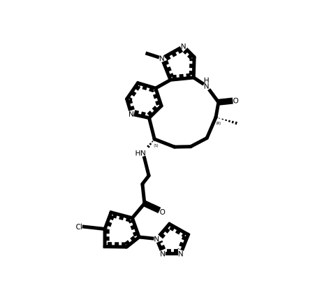 C[C@@H]1CCC[C@H](NCCC(=O)c2cc(Cl)ccc2-n2ccnn2)c2cc(ccn2)-c2c(cnn2C)NC1=O